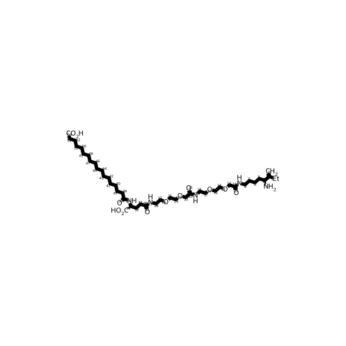 C=C(CC)[C@@H](N)CCCCNC(=O)COCCOCCNC(=O)COCCOCCNC(=O)CC[C@H](NC(=O)CCCCCCCCCCCCCCCCC(=O)O)C(=O)O